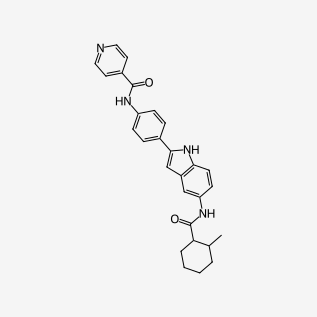 CC1CCCCC1C(=O)Nc1ccc2[nH]c(-c3ccc(NC(=O)c4ccncc4)cc3)cc2c1